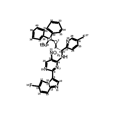 CC(C)(C)[Si](OC[C@@H](Nc1nc(-c2cnc3ccc(F)cn23)ncc1[N+](=O)[O-])c1ccc(F)cn1)(c1ccccc1)c1ccccc1